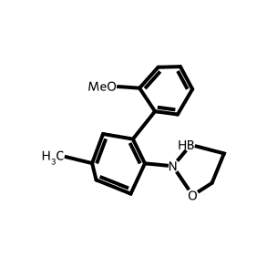 COc1ccccc1-c1cc(C)ccc1N1BCCO1